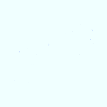 O=C1Nc2ccccc2/C1=C/Nc1ccc2[nH]ncc2c1